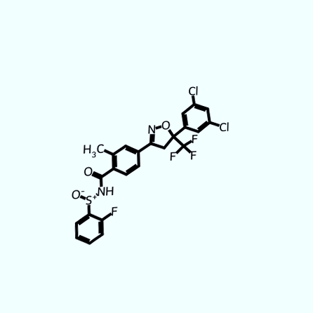 Cc1cc(C2=NOC(c3cc(Cl)cc(Cl)c3)(C(F)(F)F)C2)ccc1C(=O)N[S+]([O-])c1ccccc1F